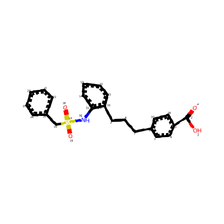 O=C(O)c1ccc(CCCc2ccccc2NS(=O)(=O)Cc2ccccc2)cc1